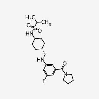 CC(C)S(=O)(=O)N[C@H]1CC[C@H](CNc2cc(F)cc(C(=O)N3CCCC3)c2)CC1